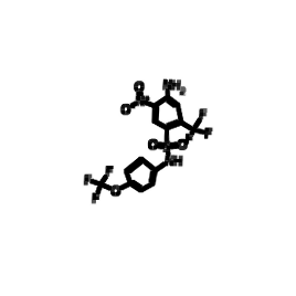 Nc1cc(C(F)(F)F)c(S(=O)(=O)Nc2ccc(OC(F)(F)F)cc2)cc1[N+](=O)[O-]